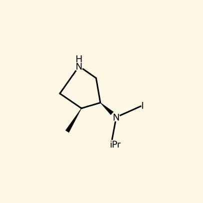 CC(C)N(I)[C@@H]1CNC[C@@H]1C